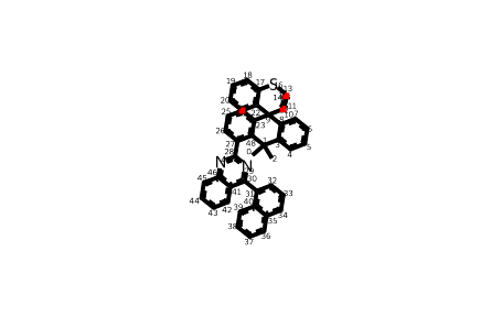 CC1(C)c2ccccc2C2(c3ccccc3Sc3ccccc32)c2cccc(-c3nc(-c4cccc5ccccc45)c4ccccc4n3)c21